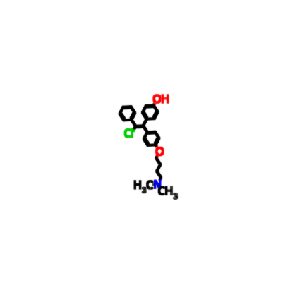 CN(C)CCCCOc1ccc(C(=C(Cl)c2ccccc2)c2ccc(O)cc2)cc1